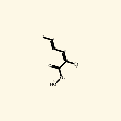 CC=CC=C(CC)C(=O)OO